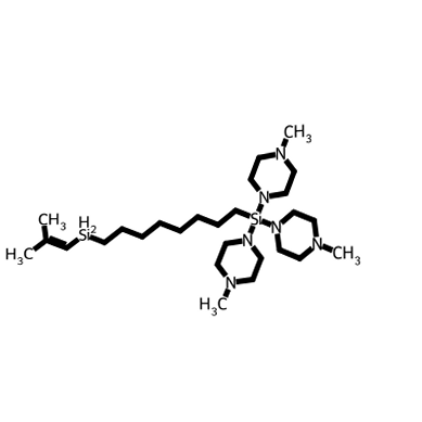 CC(C)=C[SiH2]CCCCCCCC[Si](N1CCN(C)CC1)(N1CCN(C)CC1)N1CCN(C)CC1